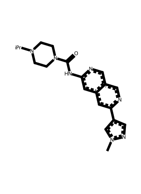 CC(C)N1CCN(C(=O)Nc2cc3cc(-c4cnn(C)c4)ncc3cn2)CC1